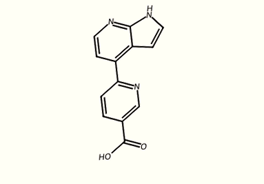 O=C(O)c1ccc(-c2ccnc3[nH]ccc23)nc1